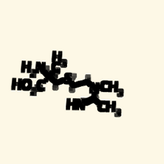 CC(=N)N(C)CCSC[C@](C)(N)C(=O)O